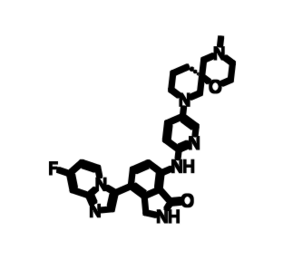 CN1CCO[C@]2(CCCN(c3ccc(Nc4ccc(-c5cnc6cc(F)ccn56)c5c4C(=O)NC5)nc3)C2)C1